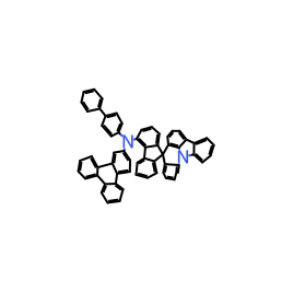 c1ccc(-c2ccc(N(c3ccc4c5ccccc5c5ccccc5c4c3)c3cccc4c3-c3ccccc3C43c4ccccc4-n4c5ccccc5c5cccc3c54)cc2)cc1